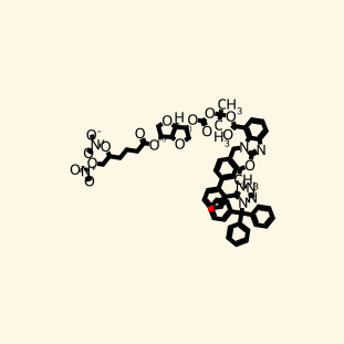 CCOc1nc2cccc(C(=O)OC(C)(C)OC(=O)O[C@@H]3COC4[C@H](OC(=O)CCCC(CO[N+](=O)[O-])O[N+](=O)[O-])CO[C@@H]43)c2n1Cc1ccc(-c2ccccc2-c2nnnn2C(c2ccccc2)(c2ccccc2)c2ccccc2)cc1